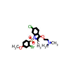 COc1ccc(S(=O)(=O)n2c(C)c(OCCN(C)C)c3ccc(Cl)cc32)c(Br)c1